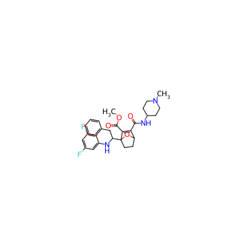 COC(=O)C1=C(C(=O)NC2CCN(C)CC2)C2CCC1(C(Cc1ccccc1)Nc1cc(F)cc(F)c1)O2